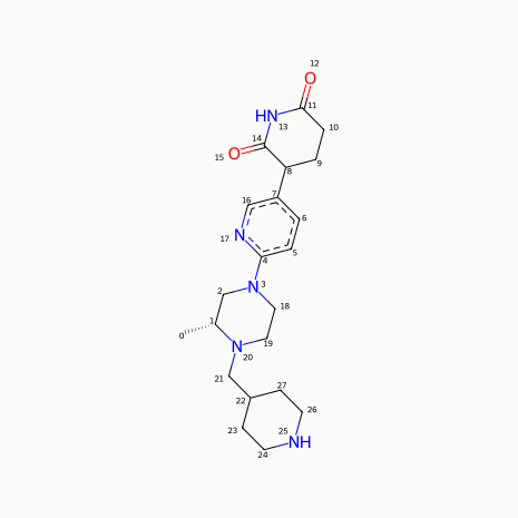 C[C@@H]1CN(c2ccc(C3CCC(=O)NC3=O)cn2)CCN1CC1CCNCC1